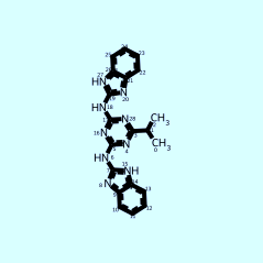 CC(C)c1nc(Nc2nc3ccccc3[nH]2)nc(Nc2nc3ccccc3[nH]2)n1